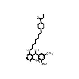 C=CC(=O)N1CCN(CCCCCCCNc2ncnc(N)c2C(=N)c2cc(OC)cc(OC)c2)CC1